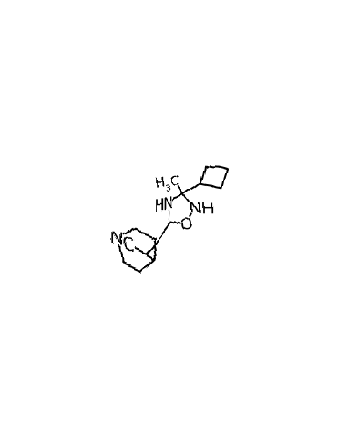 CC1(C2CCC2)NOC(C2CN3CCC2CC3)N1